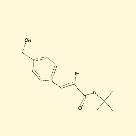 CC(C)(C)OC(=O)/C(Br)=C/c1ccc(CO)cc1